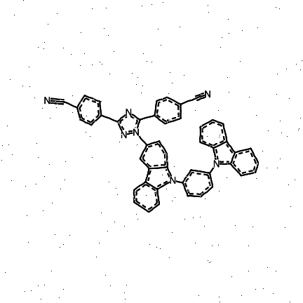 N#Cc1ccc(-c2nc(-c3ccc(C#N)cc3)n(-c3ccc4c(c3)c3ccccc3n4-c3cccc(-n4c5ccccc5c5ccccc54)c3)n2)cc1